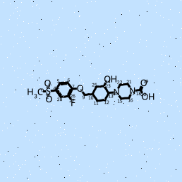 CS(=O)(=O)c1ccc(OCC2CCC(N3CCN(C(=O)O)CC3)C(O)C2)c(F)c1